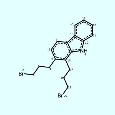 BrCCCc1ccc2c([nH]c3ccccc32)c1CCCBr